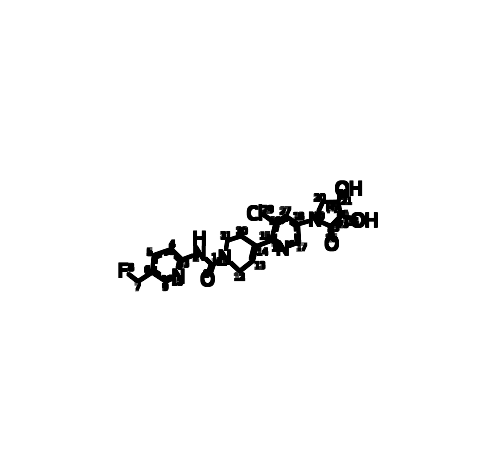 O=C(Nc1ccc(CF)cn1)N1CC=C(c2ncc(N3C[C@@H](O)[C@@H](O)C3=O)cc2Cl)CC1